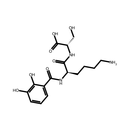 NCCCC[C@@H](NC(=O)c1cccc(O)c1O)C(=O)N[C@@H](CO)C(=O)O